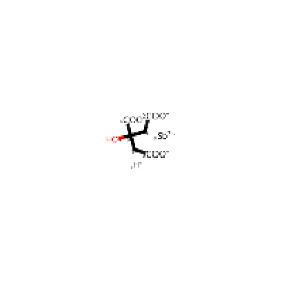 O=C([O-])CC(O)(CC(=O)[O-])C(=O)[O-].[H+].[Sb+3]